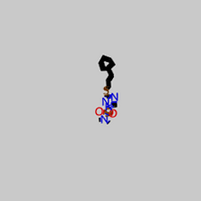 CN(C)S(=O)(=O)n1cnc(SCC=Cc2ccccc2)n1